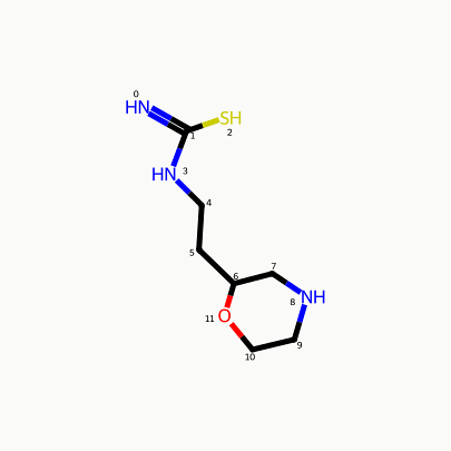 N=C(S)NCCC1CNCCO1